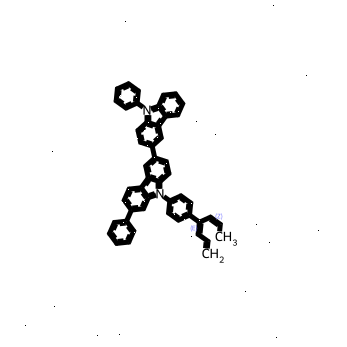 C=C/C=C(\C=C/C)c1ccc(-n2c3ccc(-c4ccc5c(c4)c4ccccc4n5-c4ccccc4)cc3c3ccc(-c4ccccc4)cc32)cc1